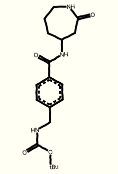 CC(C)(C)OC(=O)NCc1ccc(C(=O)NC2CCCNC(=O)C2)cc1